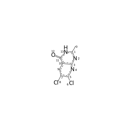 Cc1nc2nc(Cl)c(Cl)cc2c(=O)[nH]1